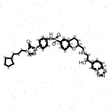 O=c1n(CCCC2CCCC2)nnn1-c1ccc(NS(=O)(=O)c2ccc3c(c2)CCC(CNC[C@H](O)c2ccc4nnnn4c2)O3)cc1